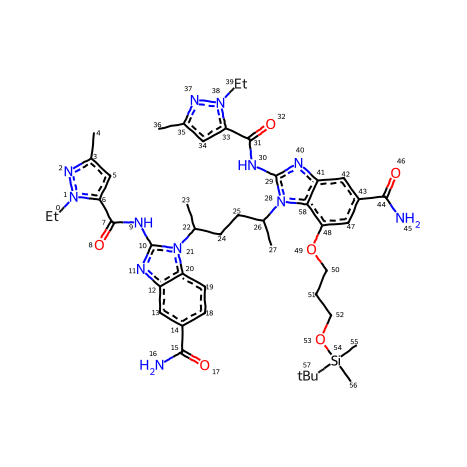 CCn1nc(C)cc1C(=O)Nc1nc2cc(C(N)=O)ccc2n1C(C)CCC(C)n1c(NC(=O)c2cc(C)nn2CC)nc2cc(C(N)=O)cc(OCCCO[Si](C)(C)C(C)(C)C)c21